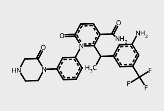 CC(c1cc(N)cc(C(F)(F)F)c1)c1c(C(N)=O)ccc(=O)n1-c1cccc(N2CCNCC2=O)c1